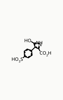 O=C(O)c1n[nH]c(O)c1-c1ccc(S(=O)(=O)O)cc1